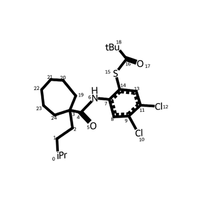 CC(C)CCC1(C(=O)Nc2cc(Cl)c(Cl)cc2SC(=O)C(C)(C)C)CCCCCC1